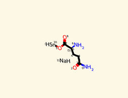 NC(=O)CC[C@H](N)C(=O)[O][SnH].[NaH]